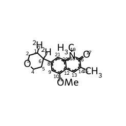 [2H]C1COCCC1([2H])c1cc(OC)c2cc(C)c(=O)n(C)c2c1